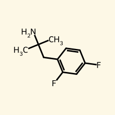 CC(C)(N)Cc1ccc(F)cc1F